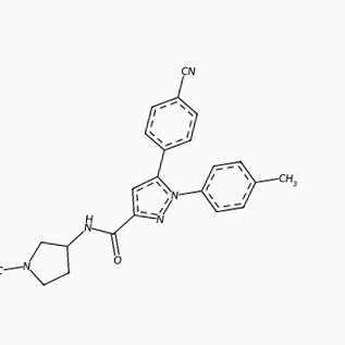 Cc1ccc(-n2nc(C(=O)NC3CCN(C)C3)cc2-c2ccc(C#N)cc2)cc1